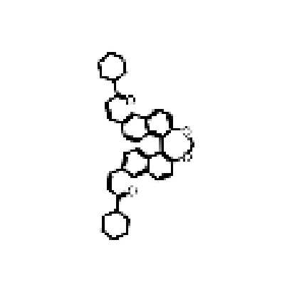 O=C(/C=C\c1ccc2c3c(ccc2c1)OCOc1ccc2cc(/C=C\C(=O)C4CCCCC4)ccc2c1-3)C1CCCCC1